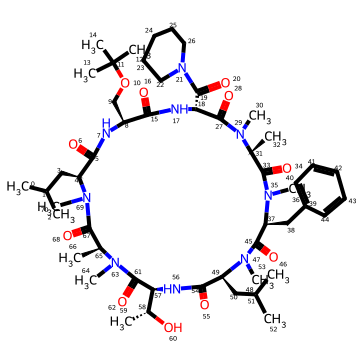 CC(C)C[C@H]1C(=O)N[C@@H](COC(C)(C)C)C(=O)N[C@H](C(=O)N2CCCCC2)C(=O)N(C)[C@@H](C)C(=O)N(C)[C@@H](Cc2ccccc2)C(=O)N(C)[C@@H](CC(C)C)C(=O)N[C@@H]([C@@H](C)O)C(=O)N(C)[C@@H](C)C(=O)N1C